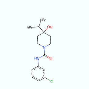 CCCC(CCC)C1(O)CCN(C(=O)Nc2cccc(Cl)c2)CC1